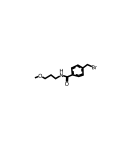 COCCCNC(=O)c1ccc(CBr)cc1